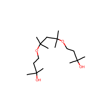 CC(C)(O)CCOC(C)(C)CC(C)(C)OCCC(C)(C)O